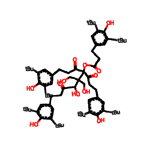 CC(C)(C)c1cc(CCC(=O)OC(C(=O)CCc2cc(C(C)(C)C)c(O)c(C(C)(C)C)c2)(C(=O)CCc2cc(C(C)(C)C)c(O)c(C(C)(C)C)c2)C(CO)(CO)C(O)C(=O)CCc2cc(C(C)(C)C)c(O)c(C(C)(C)C)c2)cc(C(C)(C)C)c1O